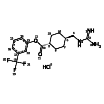 Cl.N=C(N)NC[C@H]1CC[C@H](C(=O)Oc2cccc(C(F)(F)F)c2)CC1